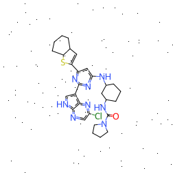 O=C(NC1CCCC(Nc2cc(C3=CC4CCCCC4S3)nc(-c3c[nH]c4ncc(Cl)nc34)n2)C1)N1CCCC1